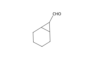 O=CC1C2CCCCC12